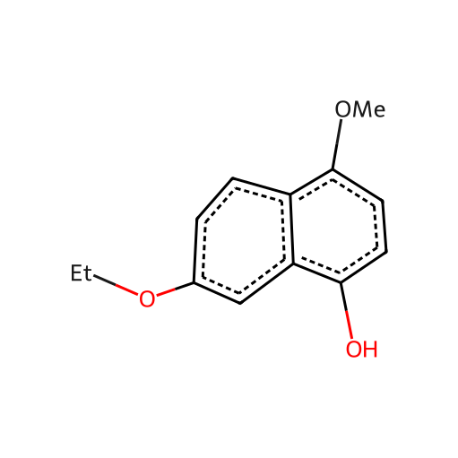 CCOc1ccc2c(OC)ccc(O)c2c1